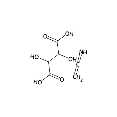 C=C=N.O=C(O)C(O)C(O)C(=O)O